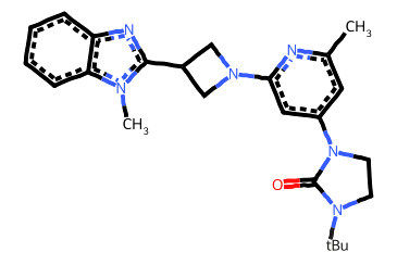 Cc1cc(N2CCN(C(C)(C)C)C2=O)cc(N2CC(c3nc4ccccc4n3C)C2)n1